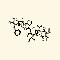 CCC(C)[C@H]([C@H](CC(=O)N1CCC[C@@H]1[C@@H](OC)[C@H](C)C(=O)NC(Cc1ccccc1)C(=O)OC)OC)N(C)C(=O)[C@H](NC(=O)[C@@H](C(C)C)N(C)C(=O)O)C(C)C